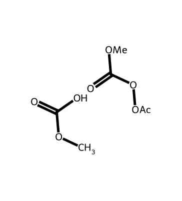 COC(=O)O.COC(=O)OOC(C)=O